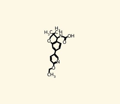 CCOc1ccc(-c2ccc3c(c2)OCC(C)(C)C3NC(=O)O)cn1